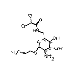 C=CCOC1O[C@H](CNC(=O)C(Cl)Cl)[C@@H](O)[C@H](O)[C@H]1N